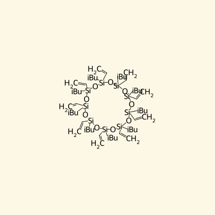 C=C[Si]1(C(C)CC)O[Si](C=C)(C(C)CC)O[Si](C=C)(C(C)CC)O[Si](C=C)(C(C)CC)O[Si](C=C)(C(C)CC)O[Si](C=C)(C(C)CC)O[Si](C=C)(C(C)CC)O[Si](C=C)(C(C)CC)O[Si](C=C)(C(C)CC)O1